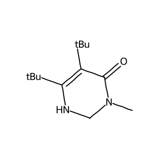 CN1CNC(C(C)(C)C)=C(C(C)(C)C)C1=O